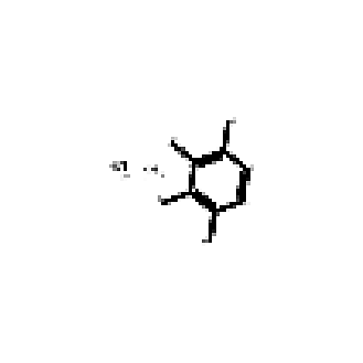 Cc1ccc(C)c(C)c1C.Cl.N